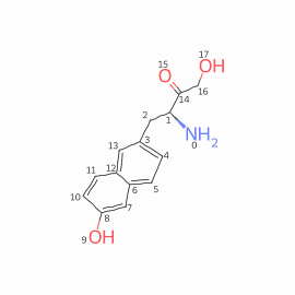 N[C@@H](Cc1ccc2cc(O)ccc2c1)C(=O)CO